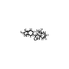 Cc1nc2cc(C(=O)N[C@H]3C4CCN(CC4)C34CC4)ccc2s1